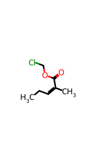 CCC=C(C)C(=O)OCCl